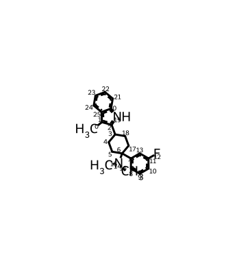 Cc1c(C2CCC(c3cccc(F)c3)(N(C)C)CC2)[nH]c2ccccc12